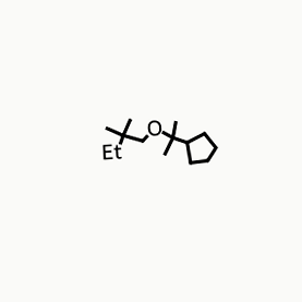 CCC(C)(C)COC(C)(C)C1CCCC1